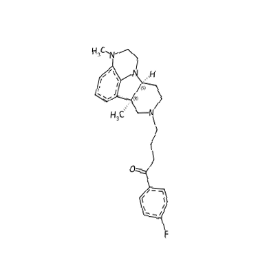 CN1CCN2c3c1cccc3[C@]1(C)CN(CCCC(=O)c3ccc(F)cc3)CC[C@H]21